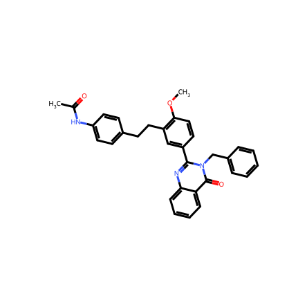 COc1ccc(-c2nc3ccccc3c(=O)n2Cc2ccccc2)cc1CCc1ccc(NC(C)=O)cc1